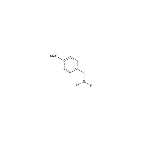 COc1ccc(CN(F)F)cc1